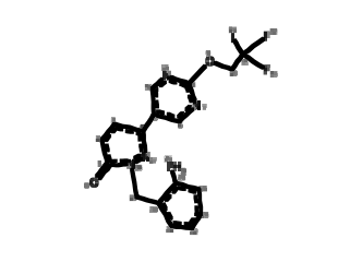 O=c1ccc(-c2cnc(OCC(F)(F)I)nc2)nn1Cc1ccccc1P